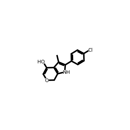 Cc1c(-c2ccc(Cl)cc2)[nH]c2c1C(O)=COC2